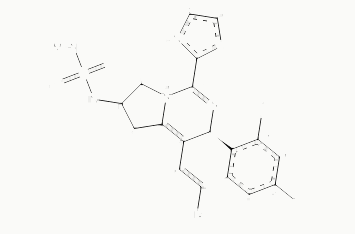 CNS(=O)(=O)NC1CC2=C(/C=C/Br)[C@H](c3ccc(F)cc3Cl)N=C(c3nccs3)N2C1